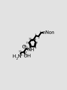 CCCCCCCCCCCCc1ccc(NC(=O)C(O)CN)cc1